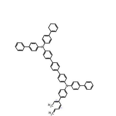 C=C/C=C\C(=C/C)c1ccc(N(c2ccc(-c3ccccc3)cc2)c2ccc(-c3ccc(-c4ccc(N(c5ccc(C6=CC=CCC6)cc5)c5ccc(-c6ccccc6)cc5)cc4)cc3)cc2)cc1